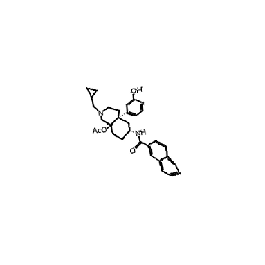 CC(=O)O[C@]12CC[C@@H](NC(=O)c3ccc4ccccc4c3)C[C@]1(c1cccc(O)c1)CCN(CC1CC1)C2